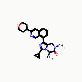 CC1C(=O)N(C)Cc2c(-c3cccc4cc(C5CCOCC5)ncc34)nc(C3CC3)n21